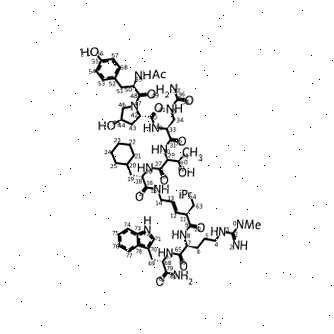 CNC(=N)NCCC[C@H](NC(=O)[C@@H](/C=C/CNC(=O)[C@H](CC1CCCCC1)NC(=O)[C@@H](NC(=O)[C@H](CNC(N)=O)NC(=O)[C@@H]1C[C@@H](O)CN1C(=O)[C@@H](Cc1ccc(O)cc1)NC(C)=O)[C@@H](C)O)CC(C)C)C(=O)N[C@@H](Cc1c[nH]c2ccccc12)C(N)=O